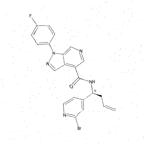 C=CC[C@H](NC(=O)c1cncc2c1cnn2-c1ccc(F)cc1)c1ccnc(Br)c1